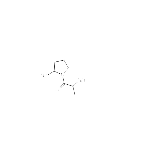 CC(N)C(=O)N1CCCC1C#N